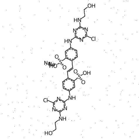 O=S(=O)(O)c1cc(Nc2nc(Cl)nc(NCCO)n2)ccc1C=Cc1ccc(Nc2nc(Cl)nc(NCCO)n2)cc1S(=O)(=O)O.[Na].[Na]